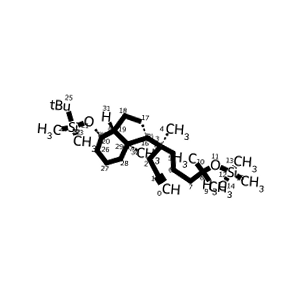 C#CC[C@](C)(CCCC(C)(C)O[Si](C)(C)C)[C@H]1CC[C@H]2[C@@H](O[Si](C)(C)C(C)(C)C)CCC[C@]12C